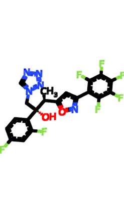 C[C@@H](c1cc(-c2c(F)c(F)c(F)c(F)c2F)no1)[C@](O)(Cn1cnnn1)c1ccc(F)cc1F